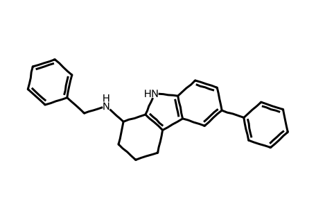 c1ccc(CNC2CCCc3c2[nH]c2ccc(-c4ccccc4)cc32)cc1